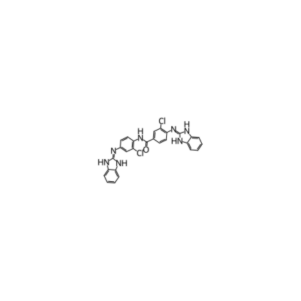 O=C(Nc1ccc(N=c2[nH]c3ccccc3[nH]2)cc1Cl)c1ccc(N=c2[nH]c3ccccc3[nH]2)c(Cl)c1